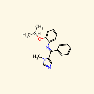 Cn1cncc1C(=Nc1ccccc1O[SiH](C)C)c1ccccc1